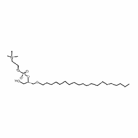 CCCCCCCCCCCCCCCCCCCCOC[C@@H](CO)OP(=O)([O-])OCC[N+](C)(C)C